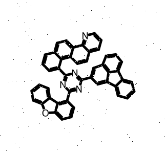 c1ccc2c(c1)-c1cccc3cc(-c4nc(-c5cccc6ccc7c(ccc8cccnc87)c56)nc(-c5cccc6oc7ccccc7c56)n4)cc-2c13